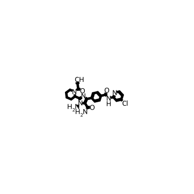 C#CC(=O)N1CCCCC1c1nc(-c2ccc(C(=O)Nc3cc(Cl)ccn3)cc2)c(C(N)=O)n1N